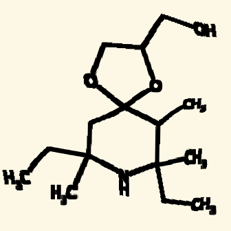 CCC1(C)CC2(OCC(CO)O2)C(C)C(C)(CC)N1